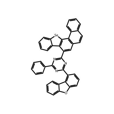 c1ccc(-c2nc(-c3cccc4oc5ccccc5c34)nc(-c3cc4ccc5ccccc5c4c4[se]c5ccccc5c34)n2)cc1